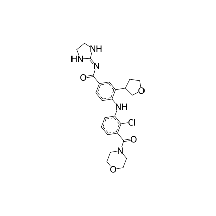 O=C(N=C1NCCN1)c1ccc(Nc2cccc(C(=O)N3CCOCC3)c2Cl)c(C2CCOC2)c1